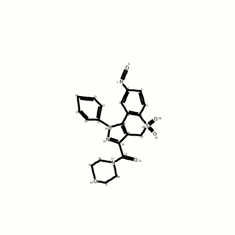 O=Nc1ccc2c(c1)-c1c(c(C(=O)N3CCOCC3)nn1-c1ccccc1)CS2(=O)=O